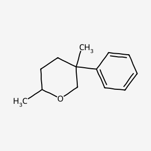 CC1CCC(C)(c2ccccc2)CO1